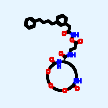 O=C1COCCOCCOCC(=O)N[C@H](C(=O)NCCC(=O)ONC(=O)Cc2cccc(CCCCc3ccccc3)c2)CCCCN1